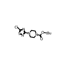 CC(C)(C)OC(=O)N1CCN(c2nsc(Cl)n2)CC1